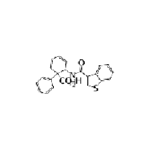 O=C(NC1C=CC=CC1(C(=O)O)c1ccccc1)c1csc2ccccc12